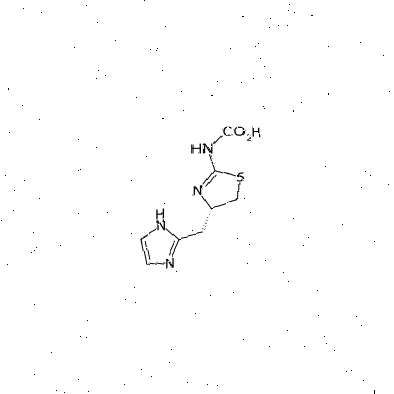 O=C(O)NC1=N[C@@H](Cc2ncc[nH]2)CS1